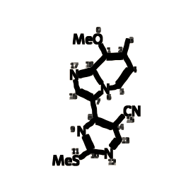 COc1c(C)ccn2c(-c3nc(SC)ncc3C#N)cnc12